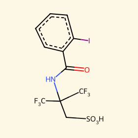 O=C(NC(CS(=O)(=O)O)(C(F)(F)F)C(F)(F)F)c1ccccc1I